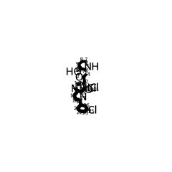 Cl.Cl.O=C(C[C@H]1NCCC[C@@H]1O)Cn1cnc2ccc(-c3cccc(Cl)c3)nc2c1=O